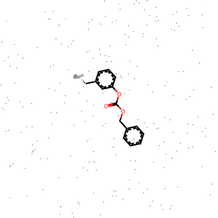 CC[C@@H](C)Cc1cccc(OC(=O)OCc2ccccc2)c1